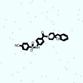 N#Cc1ccc(S(=O)(=O)Nc2ccc(C(=O)N3CCC(O)(Cc4ccccc4)CC3)cc2)cc1